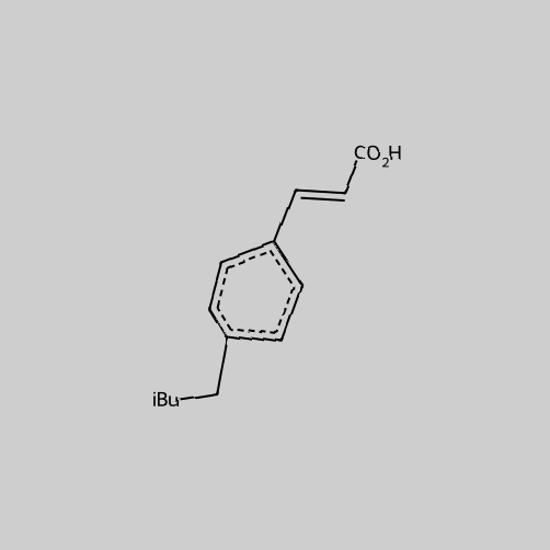 CCC(C)Cc1ccc(/C=C/C(=O)O)cc1